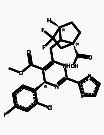 COC(=O)C1=C(CC2[C@@H]3CC[C@@]2(C(=O)O)CC3(F)F)NC(c2nccs2)=N[C@H]1c1ccc(F)cc1Cl